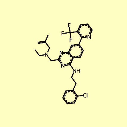 C=C(C)CN(CC)Cc1nc(NCCc2ccccc2Cl)c2ccc(-c3ncccc3C(F)(F)F)cc2n1